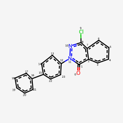 O=c1c2ccccc2c(Cl)nn1-c1ccc(-c2ccccc2)cc1